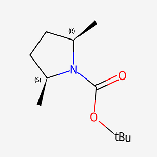 C[C@@H]1CC[C@H](C)N1C(=O)OC(C)(C)C